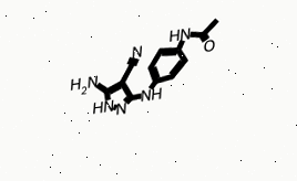 CC(=O)Nc1ccc(Nc2n[nH]c(N)c2C#N)cc1